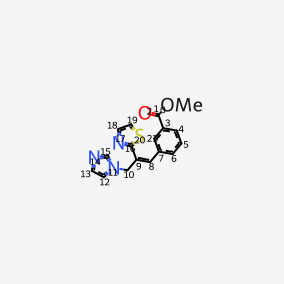 COC(=O)c1cccc(C=C(Cn2ccnc2)c2nccs2)c1